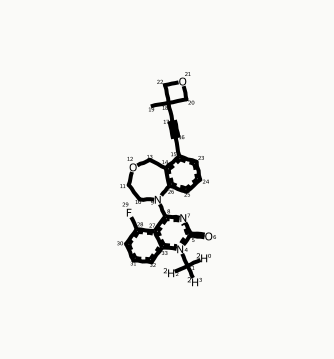 [2H]C([2H])([2H])n1c(=O)nc(N2CCOCc3c(C#CC4(C)COC4)cccc32)c2c(F)cccc21